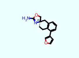 NC1=N[C@@]2(CCc3c(cccc3-c3ccoc3)C2)CO1